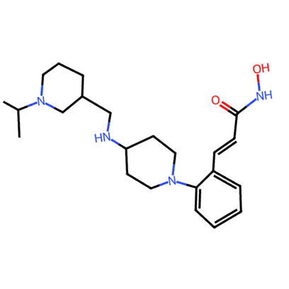 CC(C)N1CCCC(CNC2CCN(c3ccccc3/C=C/C(=O)NO)CC2)C1